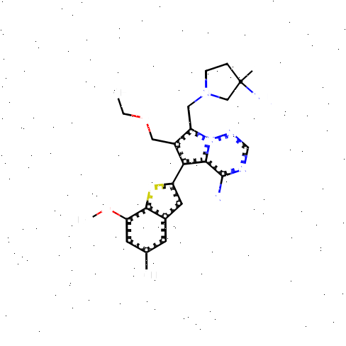 CCOCc1c(-c2cc3cc(C)cc(OC)c3s2)c2c(N)ncnn2c1CN1CCC(C)(N)C1